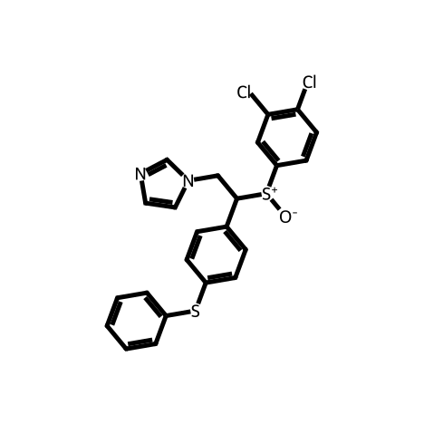 [O-][S+](c1ccc(Cl)c(Cl)c1)C(Cn1ccnc1)c1ccc(Sc2ccccc2)cc1